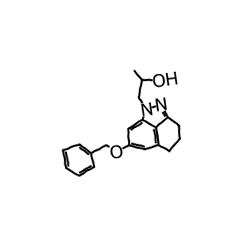 CC(O)Cn1nc2c3c(cc(OCc4ccccc4)cc31)CCC2